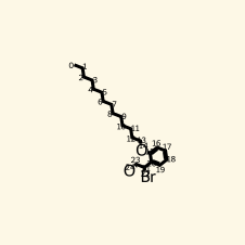 CCCCCCCCCCCCCCOc1ccccc1C(Br)C=O